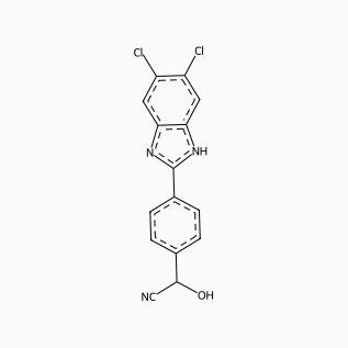 N#CC(O)c1ccc(-c2nc3cc(Cl)c(Cl)cc3[nH]2)cc1